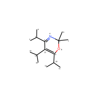 CC(C)C1=NC(C)(C)OC(C(C)C)=C1C(C)C